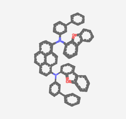 c1ccc(-c2cccc(N(c3ccc4ccc5ccc(N(c6cccc(-c7ccccc7)c6)c6cccc7c6oc6ccccc67)c6ccc3c4c56)c3cccc4c3oc3ccccc34)c2)cc1